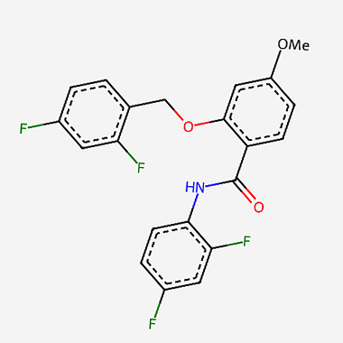 COc1ccc(C(=O)Nc2ccc(F)cc2F)c(OCc2ccc(F)cc2F)c1